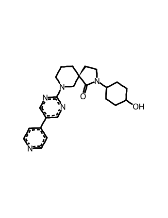 O=C1N(C2CCC(O)CC2)CC[C@@]12CCCN(c1ncc(-c3ccncc3)cn1)C2